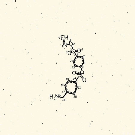 C=NOS(=O)(=O)c1ccc(OS(=O)(=O)c2ccc(CN)cc2)cc1